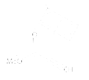 C#CC(=O)OC.c1cc2ccc1-2